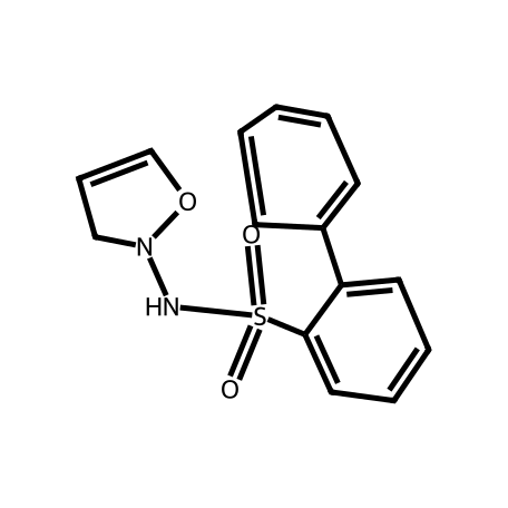 O=S(=O)(NN1CC=CO1)c1ccccc1-c1ccccc1